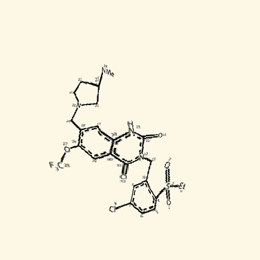 CCS(=O)(=O)c1ccc(Cl)cc1Cn1c(=O)[nH]c2cc(CN3CCC(NC)C3)c(OC(F)(F)F)cc2c1=O